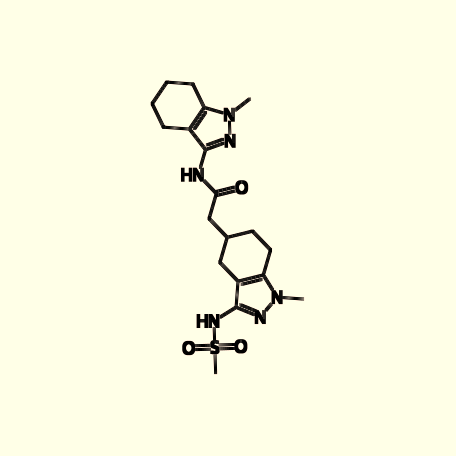 Cn1nc(NC(=O)CC2CCc3c(c(NS(C)(=O)=O)nn3C)C2)c2c1CCCC2